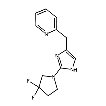 FC1(F)CCN(c2nc(Cc3ccccn3)c[nH]2)C1